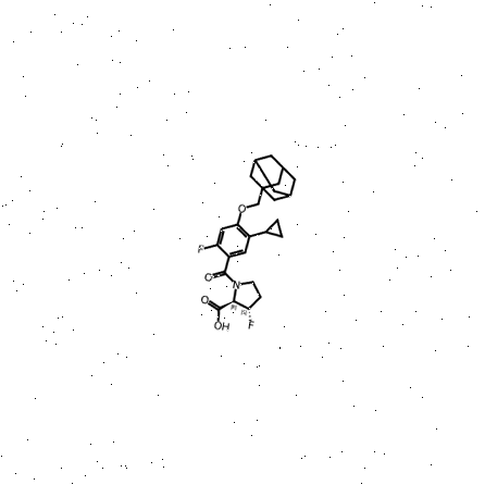 O=C(O)[C@@H]1[C@@H](F)CCN1C(=O)c1cc(C2CC2)c(OCC23CC4CC(CC(C4)C2)C3)cc1F